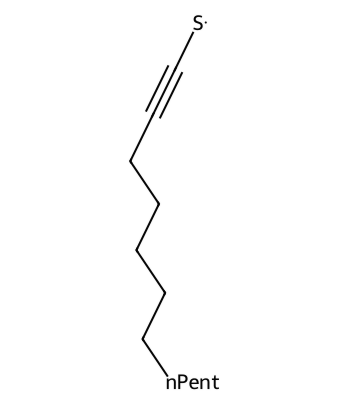 CCCCCCCCCCC#C[S]